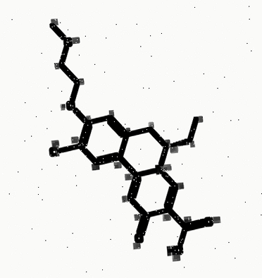 CC[C@H]1Cc2cc(OCCOC)c(Cl)cc2-c2cc(=O)c(C(=O)O)cn21